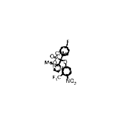 COP(=O)(OC)C(Oc1ccc([N+](=O)[O-])c(C(F)(F)F)c1)(c1ccc(F)cc1)c1nccn1C